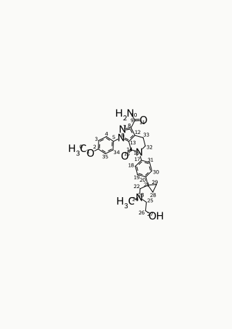 COc1ccc(-n2nc(C(N)=O)c3c2C(=O)N(c2ccc(C4(CN(C)CCO)CC4)cc2)CC3)cc1